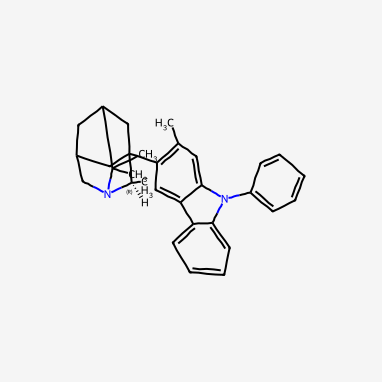 Cc1cc2c(cc1C13CC4CC(C1)C(C)(C)N(C4)[C@@H]3C)c1ccccc1n2-c1ccccc1